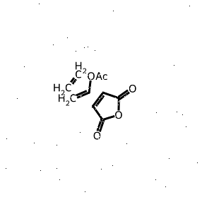 C=C.C=COC(C)=O.O=C1C=CC(=O)O1